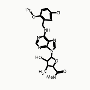 CNC(=O)C1OC(n2cnc3c(NCc4cc(Cl)ccc4OC(C)C)ncnc32)C(O)C1N